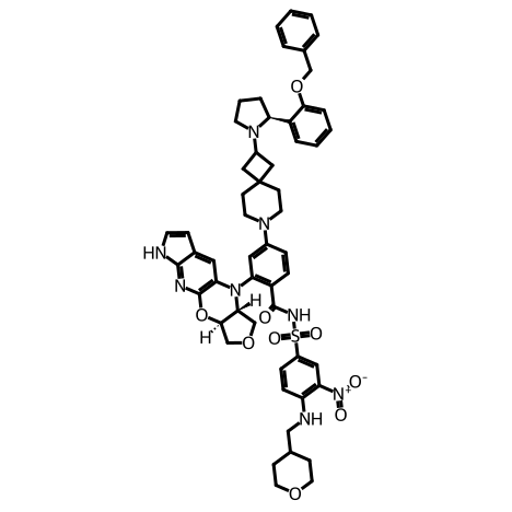 O=C(NS(=O)(=O)c1ccc(NCC2CCOCC2)c([N+](=O)[O-])c1)c1ccc(N2CCC3(CC2)CC(N2CCC[C@H]2c2ccccc2OCc2ccccc2)C3)cc1N1c2cc3cc[nH]c3nc2O[C@@H]2COC[C@H]21